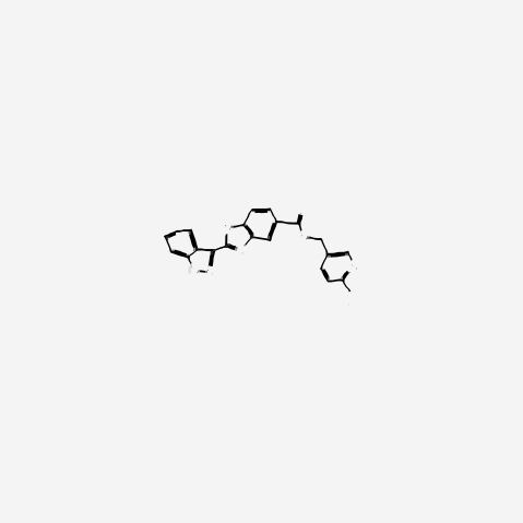 COc1ccc(CNC(=O)c2ccc3[nH]c(-c4n[nH]c5ccccc45)nc3c2)cn1